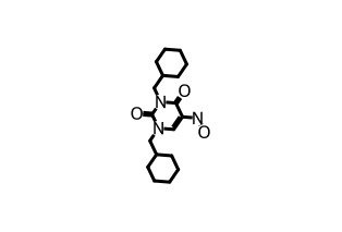 O=Nc1cn(CC2CCCCC2)c(=O)n(CC2CCCCC2)c1=O